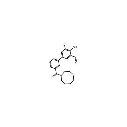 O=Cc1cc(-c2cccc(C(=O)C3CCCCOCC3)c2)cc(F)c1O